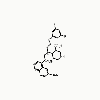 COc1ccc2nccc([C@@H](O)C[C@@H](CCSc3cc(F)cc(F)c3)C3CCNCC3C(=O)O)c2c1